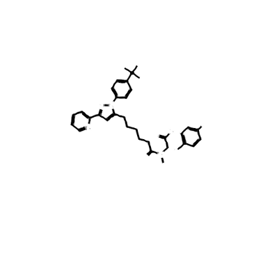 CN(C(=O)CCCCCc1cc(-c2ccccn2)nn1-c1ccc(C(C)(C)C)cc1)[C@@H](Cc1ccc(O)cc1)C(N)=O